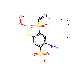 C=CS(=O)(=O)c1cc(N)c(S(=O)(=O)O)cc1SOOO